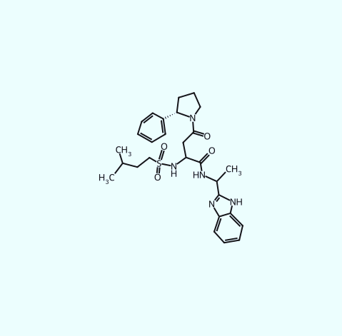 CC(C)CCS(=O)(=O)NC(CC(=O)N1CCC[C@H]1c1ccccc1)C(=O)NC(C)c1nc2ccccc2[nH]1